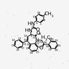 Cc1ccc(NC(=O)NC2C=C(c3ccccc3)c3ccccc3N(CC(=O)c3ccccc3C)C2=O)cc1